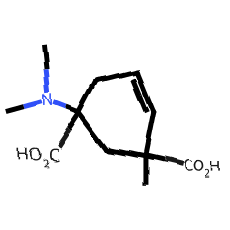 CN(C)C1(C(=O)O)CC=CC(C)(C(=O)O)C1